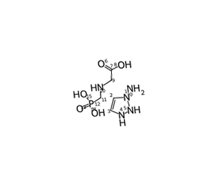 NN1C=CNN1.O=C(O)CNCP(=O)(O)O